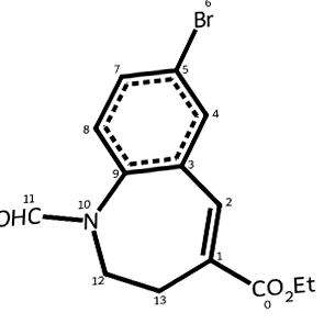 CCOC(=O)C1=Cc2cc(Br)ccc2N(C=O)CC1